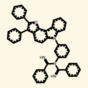 N=C(c1ccccc1)N(C(=N)c1ccccc1)c1cccc(-n2c3ccccc3c3c4oc(-c5ccccc5)c(-c5ccccc5)c4ccc32)c1